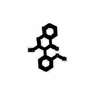 CCOc1ccccc1C1C(=O)c2cccnc2N=C1O